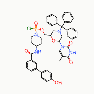 Cc1cn(C2CN(C(c3ccccc3)(c3ccccc3)c3ccccc3)CC(COP(=O)(Cl)N3CCC(NC(=O)c4cccc(-c5ccc(O)cc5)c4)CC3)O2)c(=O)[nH]c1=O